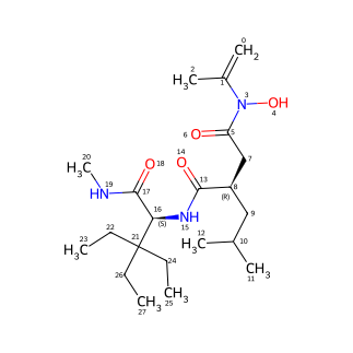 C=C(C)N(O)C(=O)C[C@@H](CC(C)C)C(=O)N[C@H](C(=O)NC)C(CC)(CC)CC